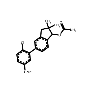 COc1ccc(Cl)c(-c2ccc3c(c2)CC(C)(C)C3OC(N)=O)c1